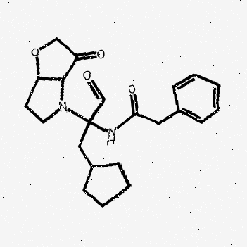 O=CC(CC1CCCC1)(NC(=O)Cc1ccccc1)N1CCC2OCC(=O)C21